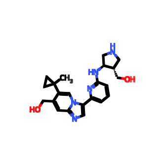 CC1(c2cn3c(-c4cccc(N[C@H]5CNC[C@@H]5CO)n4)cnc3cc2CO)CC1